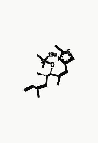 C=CC(C)=C[C@H](C)[C@H](O[Si](C)(C)C(C)(C)C)C(C)=Cc1csc(C)n1